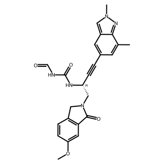 COc1ccc2c(c1)C(=O)N(C[C@@H](C#Cc1cc(C)c3nn(C)cc3c1)NC(=O)NC=O)C2